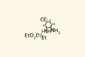 CCOC(=O)C(CC)CNc1cc(Cl)ccc1N